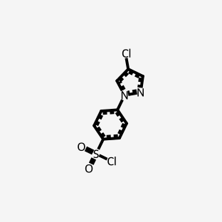 O=S(=O)(Cl)c1ccc(-n2cc(Cl)cn2)cc1